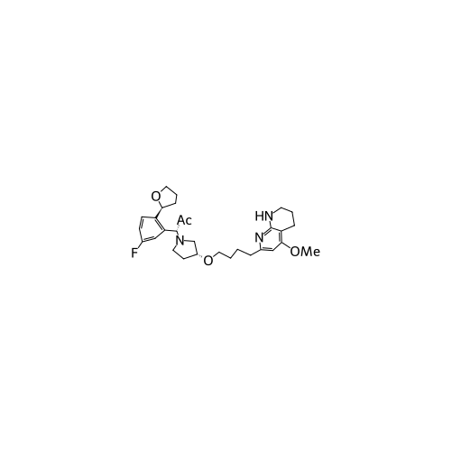 COc1cc(CCCCO[C@@H]2CCN([C@@H](C(C)=O)c3cc(F)ccc3[C@@H]3CCCO3)C2)nc2c1CCCN2